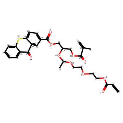 C=CC(=O)OCCOCCOC(C)OC(COC(=O)C(=C)C)COC(=O)c1ccc2sc3ccccc3c(=O)c2c1